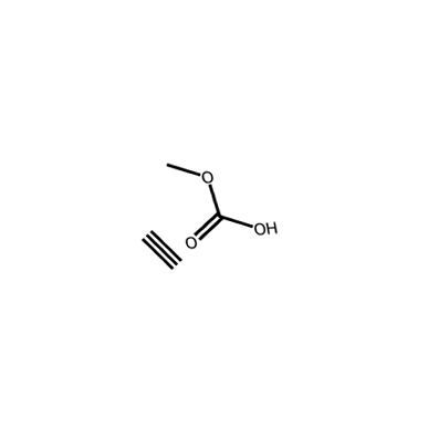 C#C.COC(=O)O